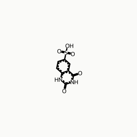 O=c1[nH]c(=O)c2cc(S(=O)(=O)O)ccc2[nH]1